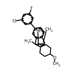 COC1CCC23Cc4ccc(-c5cc(F)cc(Cl)c5)cc4C2(C)N=C(N)N(C)CC3C1